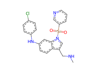 CNCc1cn(S(=O)(=O)c2cccnc2)c2cc(Nc3ccc(Cl)cc3)ccc12